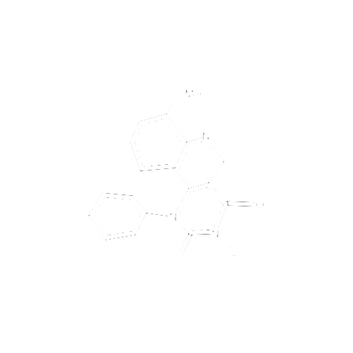 CCn1c(=O)c2cnc3c(OC)cccc3c2n(-c2ccccc2)c1=O